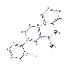 CN(C)c1nc(-c2ccccc2F)ncc1-c1ccncc1